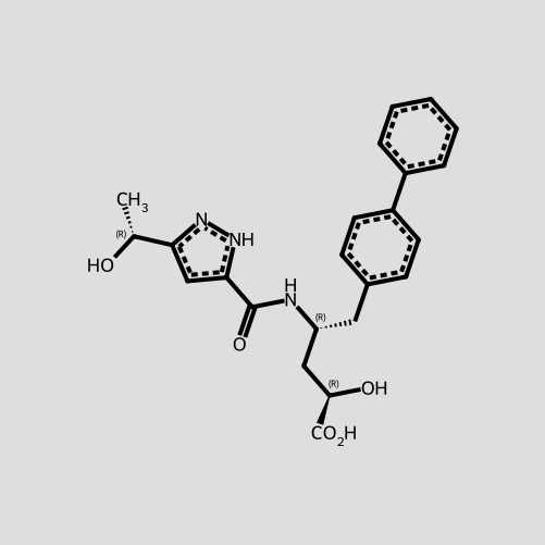 C[C@@H](O)c1cc(C(=O)N[C@H](Cc2ccc(-c3ccccc3)cc2)C[C@@H](O)C(=O)O)[nH]n1